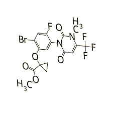 COC(=O)C1(Oc2cc(-n3c(=O)cc(C(F)(F)F)n(C)c3=O)c(F)cc2Br)CC1